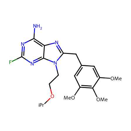 COc1cc(Cc2nc3c(N)nc(F)nc3n2CCOC(C)C)cc(OC)c1OC